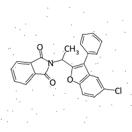 CC(c1oc2ccc(Cl)cc2c1-c1ccccc1)N1C(=O)c2ccccc2C1=O